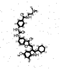 COc1cc(F)c2[nH]c(C3CCCCC3)c(/C=C3\Oc4ccc(NC(=O)Nc5ccc(C(=O)NCCN(C)C)cc5)cc4C3=O)c2c1